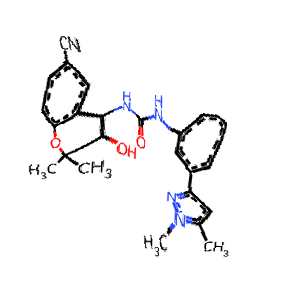 Cc1cc(-c2cccc(NC(=O)NC3c4cc(C#N)ccc4OC(C)(C)C3O)c2)nn1C